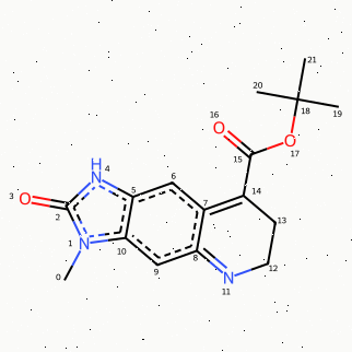 Cn1c(=O)[nH]c2cc3c(cc21)=NCCC=3C(=O)OC(C)(C)C